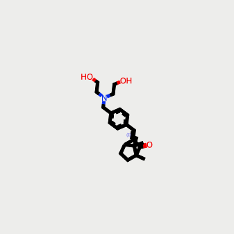 CC12CCC(/C(=C\c3ccc(CN(CCO)CCO)cc3)C1=O)C2(C)C